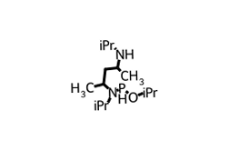 CC(C)NC(C)CC(C)N(POC(C)C)C(C)C